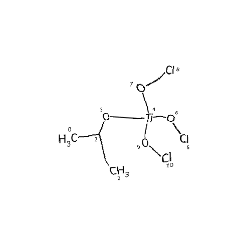 CC(C)[O][Ti]([O]Cl)([O]Cl)[O]Cl